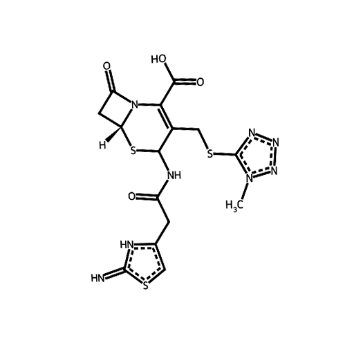 Cn1nnnc1SCC1=C(C(=O)O)N2C(=O)C[C@H]2SC1NC(=O)Cc1csc(=N)[nH]1